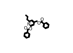 CCCc1cc(COC(=O)c2ccccc2)cc(OC(=O)c2ccccc2)n1